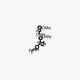 COc1cc(-c2nc(C3CCC(NCC(F)F)CC3)n3ccnc(C)c23)ccc1NC(=O)c1cc2c(OC)cccc2n1C